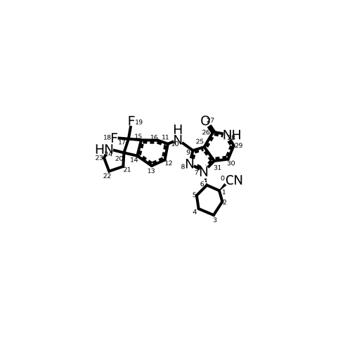 N#C[C@H]1CCCC[C@@H]1n1nc(Nc2ccc3c(c2)C(F)(F)C32CCCN2)c2c(=O)[nH]ccc21